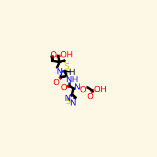 C=CC1(C(=O)O)CS[C@@H]2C(NC(=O)C(=NOCC(=O)O)c3cnsn3)C(=O)N2C1